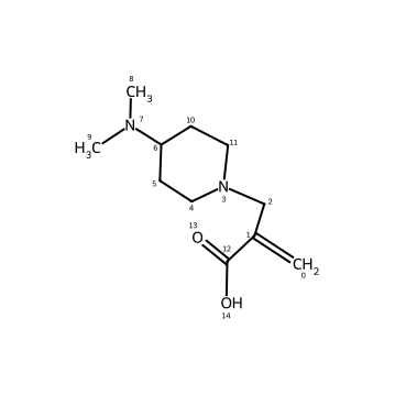 C=C(CN1CCC(N(C)C)CC1)C(=O)O